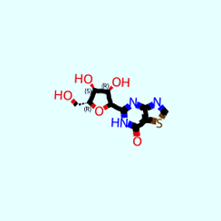 O=c1[nH]c(C2O[C@H](CO)[C@@H](O)[C@H]2O)nc2ncsc12